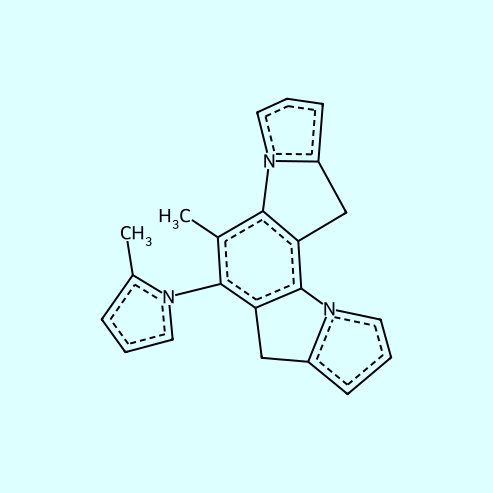 Cc1c(-n2cccc2C)c2c(c3c1-n1cccc1C3)-n1cccc1C2